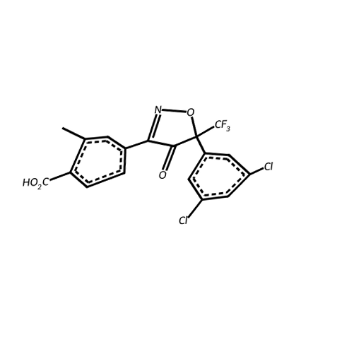 Cc1cc(C2=NOC(c3cc(Cl)cc(Cl)c3)(C(F)(F)F)C2=O)ccc1C(=O)O